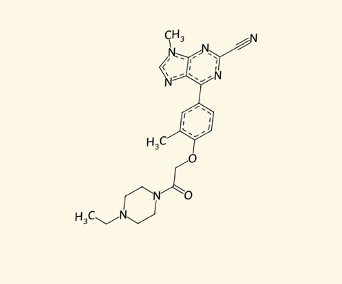 CCN1CCN(C(=O)COc2ccc(-c3nc(C#N)nc4c3ncn4C)cc2C)CC1